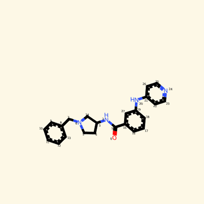 O=C(NC1CCN(Cc2ccccc2)C1)c1cccc(Nc2ccncc2)c1